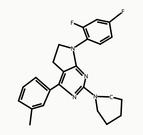 Cc1cccc(-c2nc(N3CCCCC3)nc3c2CCN3c2ccc(F)cc2F)c1